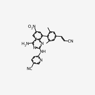 Cc1cc(C=CC#N)cc(C)c1-c1cc([N+](=O)[O-])cc2c(N)nc(Nc3ccc(C#N)cn3)nc12